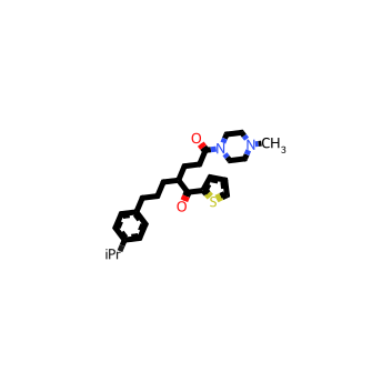 CC(C)c1ccc(CCCC(CCC(=O)N2CCN(C)CC2)C(=O)c2cccs2)cc1